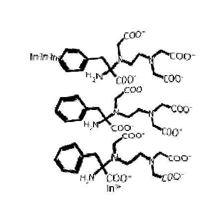 NC(Cc1ccccc1)(C(=O)[O-])N(CCN(CC(=O)[O-])CC(=O)[O-])CC(=O)[O-].NC(Cc1ccccc1)(C(=O)[O-])N(CCN(CC(=O)[O-])CC(=O)[O-])CC(=O)[O-].NC(Cc1ccccc1)(C(=O)[O-])N(CCN(CC(=O)[O-])CC(=O)[O-])CC(=O)[O-].[In+3].[In+3].[In+3].[In+3]